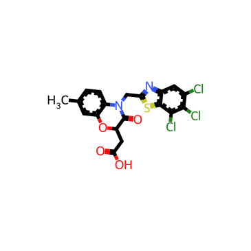 Cc1ccc2c(c1)OC(CC(=O)O)C(=O)N2Cc1nc2cc(Cl)c(Cl)c(Cl)c2s1